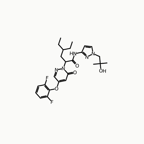 CCC(CC)CC(C(=O)Nc1ccn(CC(C)(C)O)n1)n1ncc(Oc2c(F)cccc2F)cc1=O